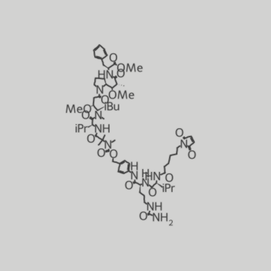 CC[C@H](C)[C@@H]([C@@H](CC(=O)N1CCC[C@H]1[C@H](OC)[C@@H](C)C(=O)N[C@@H](Cc1ccccc1)C(=O)OC)OC)N(C)C(=O)[C@@H](NC(=O)C(C)(C)N(C)C(=O)OCc1ccc(NC(=O)[C@H](CCCNC(N)=O)NC(=O)[C@@H](NC(=O)CCCCCN2C(=O)C=CC2=O)C(C)C)cc1)C(C)C